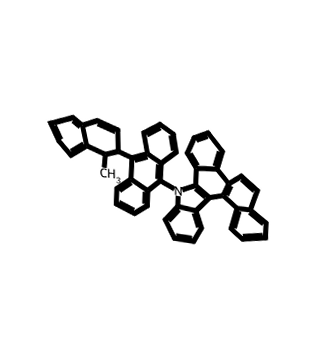 CC1c2ccccc2C=CC1c1c2ccccc2c(-n2c3ccccc3c3c4c5ccccc5ccc4c4ccccc4c32)c2ccccc12